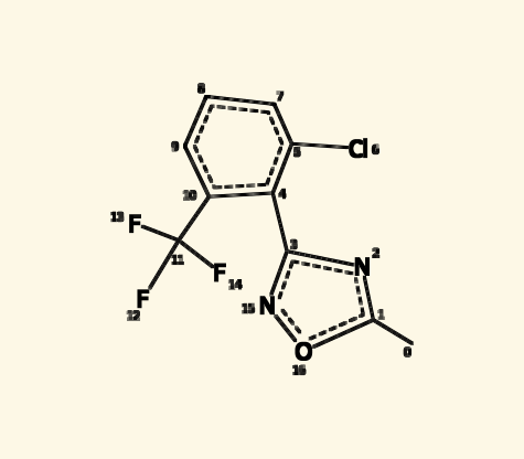 Cc1nc(-c2c(Cl)cccc2C(F)(F)F)no1